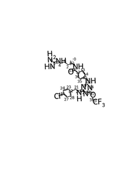 C[C@@H](CCCNC(=N)N)NC(=O)c1ccc(Nc2nc(NCc3ccc(Cl)cc3)nc(OCC(F)(F)F)n2)cc1